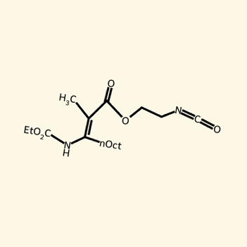 CCCCCCCCC(NC(=O)OCC)=C(C)C(=O)OCCN=C=O